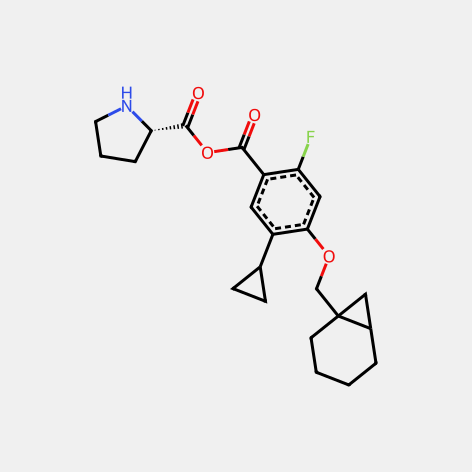 O=C(OC(=O)[C@@H]1CCCN1)c1cc(C2CC2)c(OCC23CCCCC2C3)cc1F